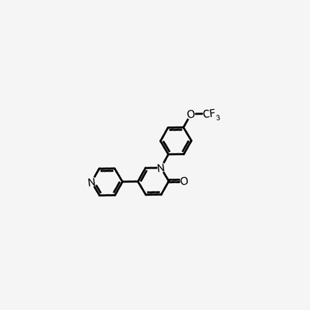 O=c1ccc(-c2ccncc2)cn1-c1ccc(OC(F)(F)F)cc1